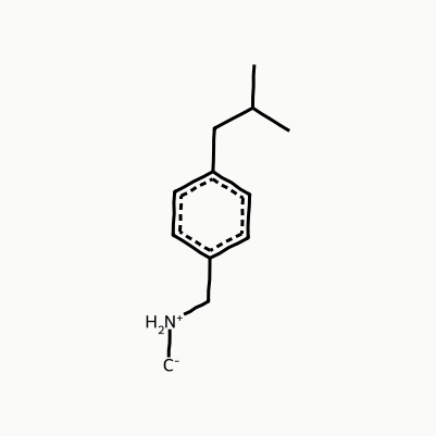 [CH2-][NH2+]Cc1ccc(CC(C)C)cc1